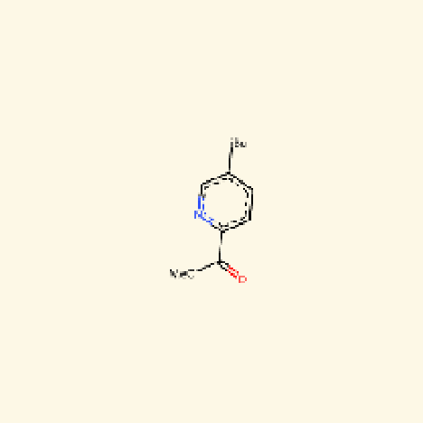 CCC(C)c1ccc(C(=O)OC)nc1